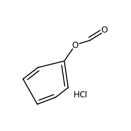 Cl.O=COc1ccccc1